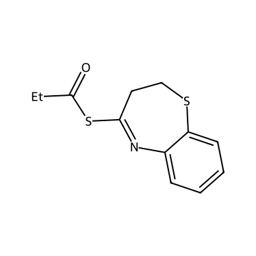 CCC(=O)SC1=Nc2ccccc2SCC1